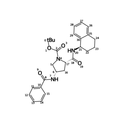 CC(C)(C)OC(=O)N1C[C@@H](NC(=O)c2ccccc2)C[C@H]1C(=O)N[C@@H]1CCCc2ccccc21